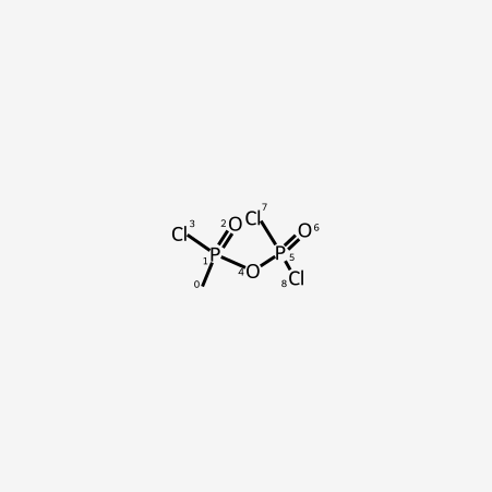 CP(=O)(Cl)OP(=O)(Cl)Cl